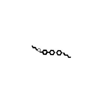 CC=CCOCc1ccc(C2CCC([C@H]3CC[C@H](/C=C/CCC)CC3)CC2)cc1